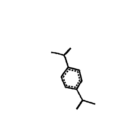 CC(C)c1[c]cc(C(C)C)[c]c1